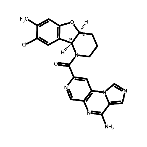 Nc1nc2cnc(C(=O)N3CCC[C@@H]4Oc5cc(C(F)(F)F)c(Cl)cc5[C@@H]43)cc2n2cncc12